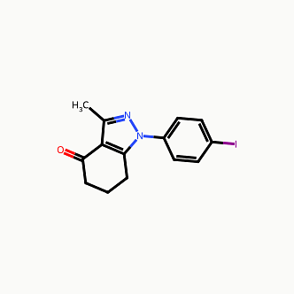 Cc1nn(-c2ccc(I)cc2)c2c1C(=O)CCC2